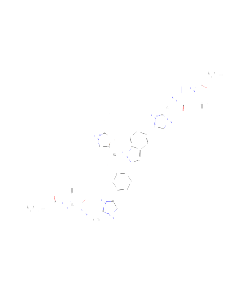 COC(=O)NC(C(=O)N1CCC[C@H]1c1ncc(-c2ccc3c(c2)cc2n3[C@H](c3cnc(C4CC4)s3)Oc3cc(-c4cnc([C@@H]5CCCN5C(=O)[C@@H](NC(=O)OC)C(C)C)[nH]4)cc(F)c3-2)[nH]1)C(C)C